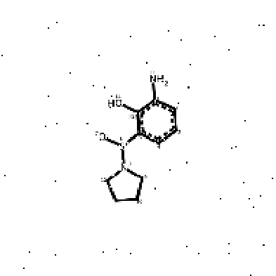 Nc1cccc([S+]([O-])N2CCCC2)c1O